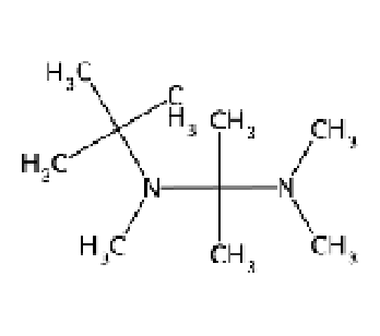 CN(C)C(C)(C)N(C)C(C)(C)C